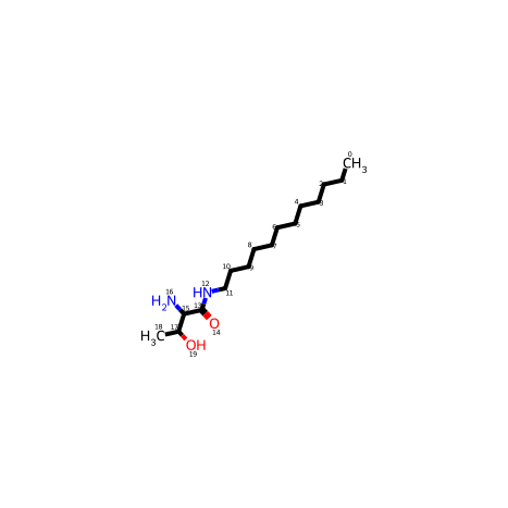 CCCCCCCCCCCCNC(=O)C(N)C(C)O